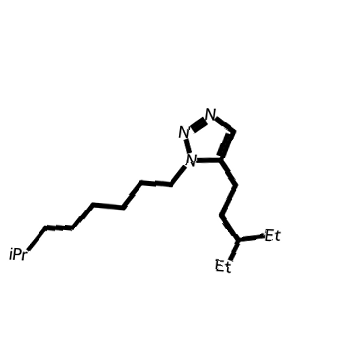 CCC(CC)CCc1cnnn1CCCCCCC(C)C